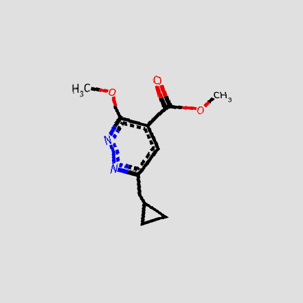 COC(=O)c1cc(C2CC2)nnc1OC